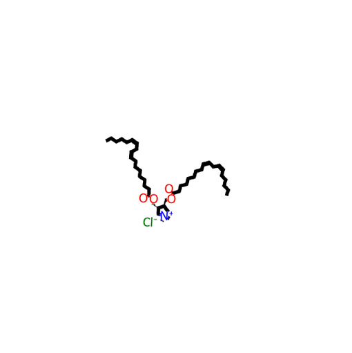 CCCCC/C=C\C/C=C\CCCCCCCC(=O)OC[C@H]1C[N+](C)(C)C[C@@H]1COC(=O)CCCCCCC/C=C\C/C=C\CCCCC.[Cl-]